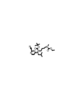 CCOC(=O)N(C)CCCCN(C(=O)OC(C)(C)C)N(CC(C)C)c1ccnc(C#N)n1